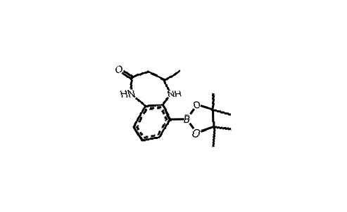 CC1CC(=O)Nc2cccc(B3OC(C)(C)C(C)(C)O3)c2N1